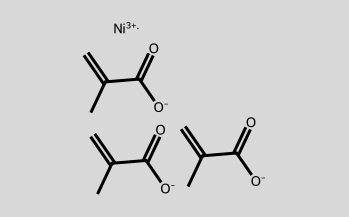 C=C(C)C(=O)[O-].C=C(C)C(=O)[O-].C=C(C)C(=O)[O-].[Ni+3]